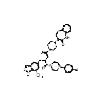 Cc1cc(CC(CC(=O)N2CCC(N3CCc4ccccc4NC3=O)CC2)C(=O)N2CCN(c3ccc(F)cc3)CC2)cc2cn[nH]c12